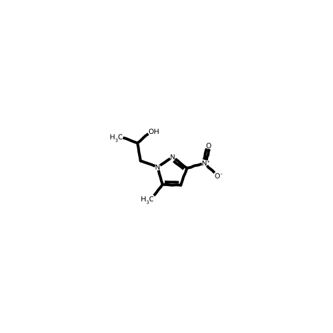 Cc1cc([N+](=O)[O-])nn1CC(C)O